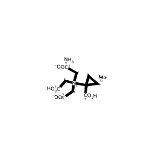 N.O=C([O-])C[N+](CC(=O)[O-])(CC(=O)O)C1(C(=O)O)CC1.[Mn]